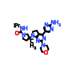 CC(C)NC(=O)N1CC[C@@](C)(N2CCc3c(-c4cnc(N)nc4)nc(N4CCOCC4)nc32)C1